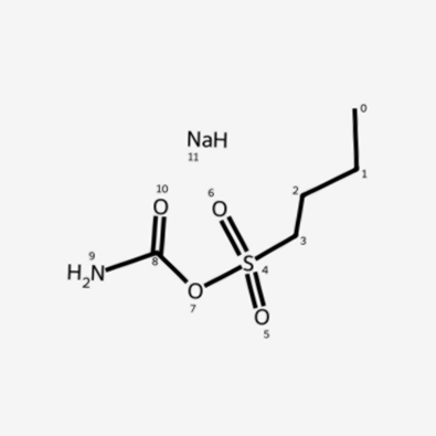 CCCCS(=O)(=O)OC(N)=O.[NaH]